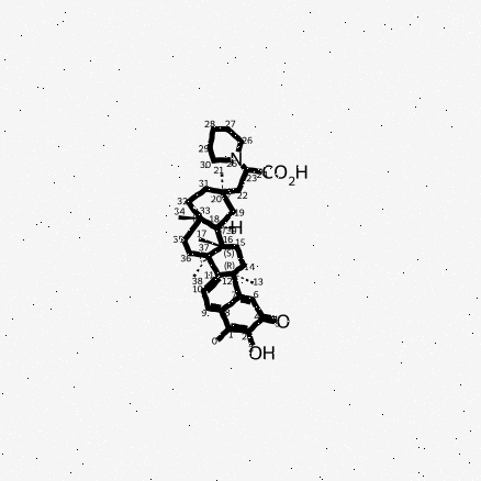 CC1=C(O)C(=O)C=C2C1=CC=C1[C@@]2(C)CC[C@@]2(C)[C@@H]3C[C@](C)(CC(C(=O)O)N4CCCCC4)CC[C@@]3(C)CC[C@]12C